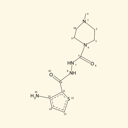 CN1CCN(C(=O)NNC(=O)c2sccc2N)CC1